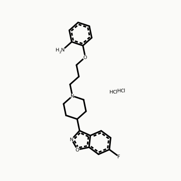 Cl.Cl.Nc1ccccc1OCCCN1CCC(c2noc3cc(F)ccc23)CC1